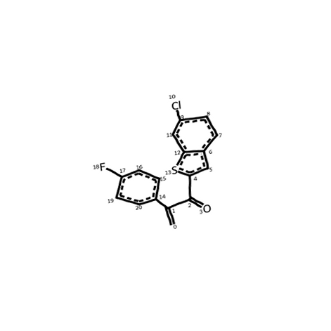 C=C(C(=O)c1cc2ccc(Cl)cc2s1)c1ccc(F)cc1